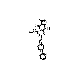 CCOC(=O)N1C(=O)c2c(C)csc2NC1SCCCN1CCN(c2ccccn2)CC1